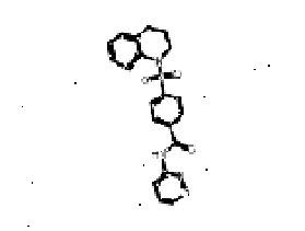 O=C(Nc1cccnn1)c1ccc(S(=O)(=O)N2CCCc3ccccc32)cc1